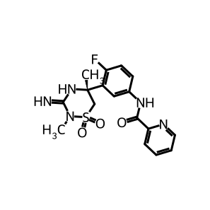 CN1C(=N)N[C@](C)(c2cc(NC(=O)c3ccccn3)ccc2F)CS1(=O)=O